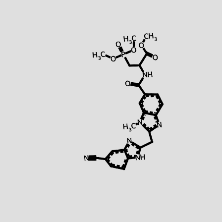 COC(=O)C(CP(=O)(OC)OC)NC(=O)c1ccc2nc(Cc3nc4cc(C#N)ccc4[nH]3)n(C)c2c1